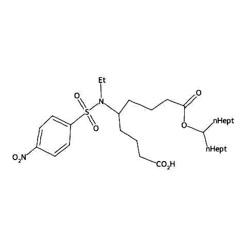 CCCCCCCC(CCCCCCC)OC(=O)CCCC(CCCC(=O)O)N(CC)S(=O)(=O)c1ccc([N+](=O)[O-])cc1